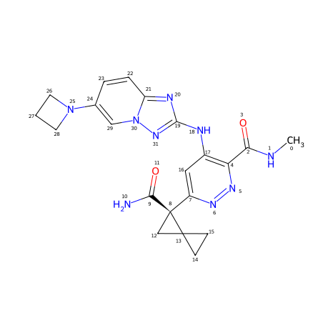 CNC(=O)c1nnc([C@@]2(C(N)=O)CC23CC3)cc1Nc1nc2ccc(N3CCC3)cn2n1